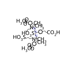 CC1(C)C(/C=C/C(=C/C=C2\N(CCCCS(=O)(=O)O)c3cc(S(C)(=O)=O)ccc3C2(C)C)c2ccc(CCC(=O)O)cc2)=[N+](CCCCS(=O)(=O)O)c2cc(S(C)(=O)=O)ccc21